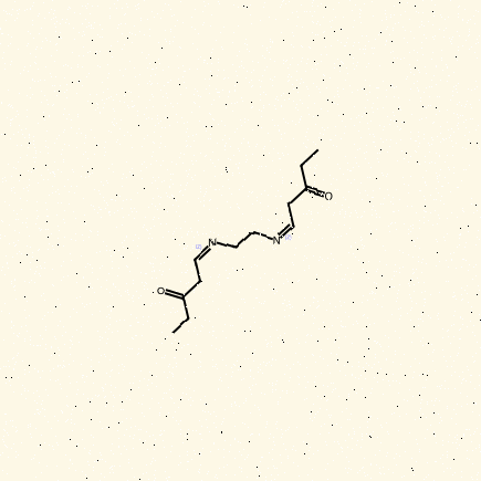 CCC(=O)C/C=N\CC/N=C\CC(=O)CC